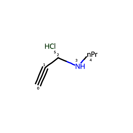 C#CCNCCC.Cl